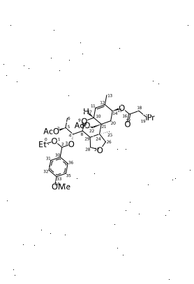 CCOC(O[C@H]([C@H](C)OC(C)=O)[C@H]1O[C@@H]2C=C(C)[C@@H](OC(=O)CC(C)C)C[C@]2(COC(C)=O)[C@@]2(C)COCC12)c1ccc(OC)cc1